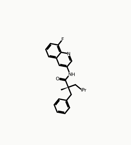 CC(C)C[C@](C)(Cc1ccccc1)C(=O)Nc1cnc2c(F)cccc2c1